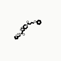 O=C(NCc1cccs1)C1=NOC2(CCN(C(=O)CCCOc3ccccc3)CC2)C1